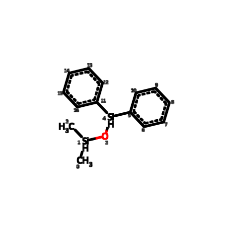 C[SiH](C)O[SiH](c1ccccc1)c1ccccc1